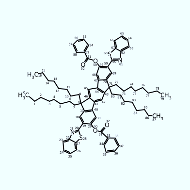 CCCCCCCCC1(CCCCCCCC)c2cc(-c3nc4ccccc4s3)c(OC(=O)c3ccccc3)cc2-c2cc3c(cc21)-c1cc(OC(=O)c2ccccc2)c(-c2nc4ccccc4s2)cc1C3(CCCCCCCC)CCCCCCCC